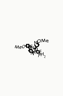 COc1ccc(F)c(-c2ccnc(N3CCC(F)(P)C3)c2NC(=O)c2ccc(OC)nc2)c1